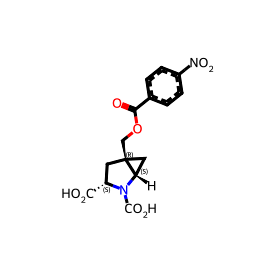 O=C(OC[C@@]12C[C@@H]1N(C(=O)O)[C@H](C(=O)O)C2)c1ccc([N+](=O)[O-])cc1